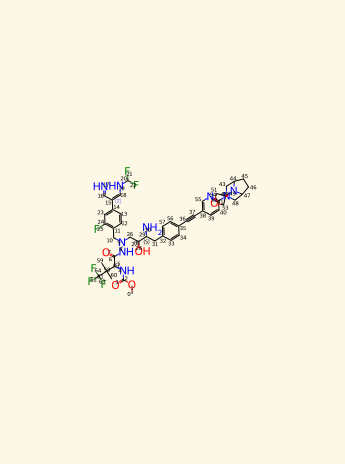 COC(=O)N[C@H](C(=O)NN(Cc1ccc(/C(C=N)=C/NC(F)F)cc1F)C[C@H](O)[C@@H](N)Cc1ccc(C#Cc2ccc(N3CC4CCC(C3)N4C3COC3)nc2)cc1)C(C)(C)C(F)(F)F